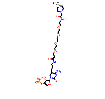 CN1CCN(CC(=O)NCCOCCOCCOCCOCCC(=O)NCCCC2CN([C@@H]3OCC(O[PH](=O)O)[C@@H]3O)C(=O)N=C2N)CC1